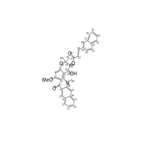 COc1cc2c(c3c1c(=O)c1cc4ccccc4cc1n3C)[C@H](O)[C@H](OC(=O)C=Cc1ccc3ccccc3c1)C(C)(C)O2